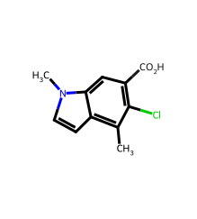 Cc1c(Cl)c(C(=O)O)cc2c1ccn2C